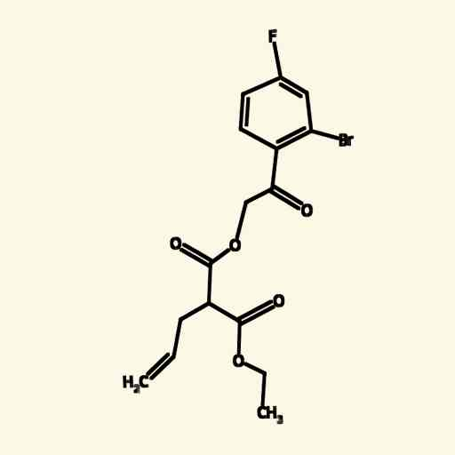 C=CCC(C(=O)OCC)C(=O)OCC(=O)c1ccc(F)cc1Br